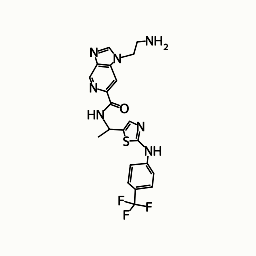 CC(NC(=O)c1cc2c(cn1)ncn2CCN)c1cnc(Nc2ccc(C(F)(F)F)cc2)s1